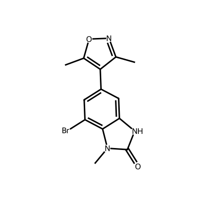 Cc1noc(C)c1-c1cc(Br)c2c(c1)[nH]c(=O)n2C